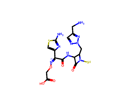 NCc1cnn(CC2C(NC(=O)/C(=N\OCC(=O)O)c3csc(N)n3)C(=O)N2S)n1